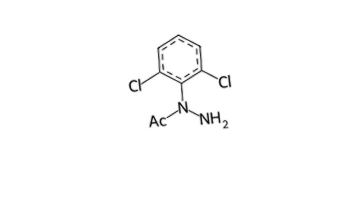 CC(=O)N(N)c1c(Cl)cccc1Cl